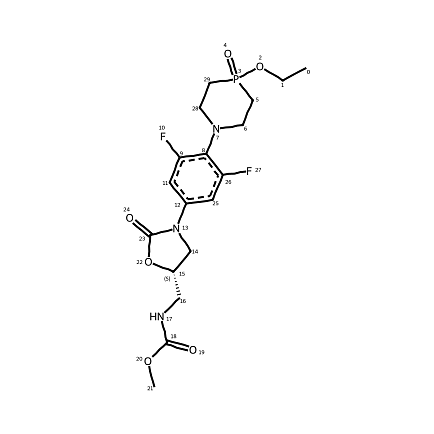 CCOP1(=O)CCN(c2c(F)cc(N3C[C@H](CNC(=O)OC)OC3=O)cc2F)CC1